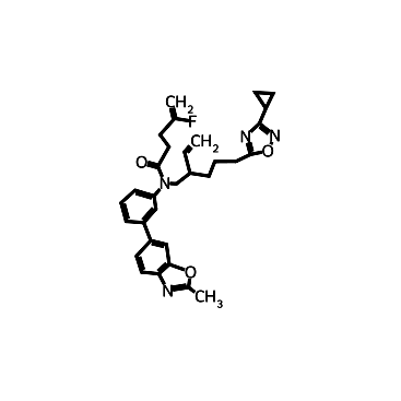 C=CC(CCCc1nc(C2CC2)no1)CN(C(=O)CCC(=C)F)c1cccc(-c2ccc3nc(C)oc3c2)c1